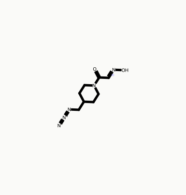 [N-]=[N+]=NCC1CCN(C(=O)/C=N/O)CC1